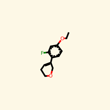 CCOc1ccc(C2=CCCOC2)c(F)c1